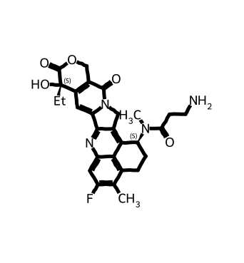 CC[C@@]1(O)C(=O)OCc2c1cc1n(c2=O)Cc2c-1nc1cc(F)c(C)c3c1c2[C@@H](N(C)C(=O)CCN)CC3